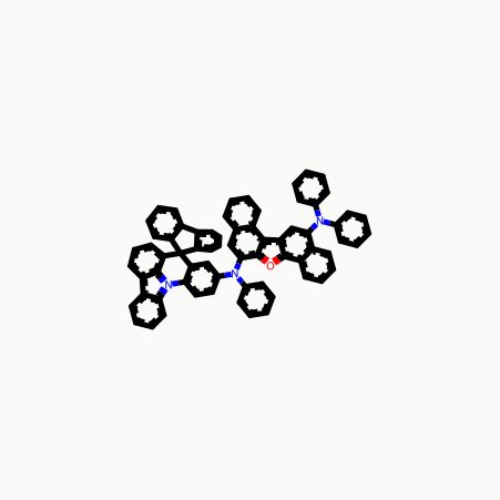 c1ccc(N(c2ccccc2)c2cc3c(oc4c(N(c5ccccc5)c5ccc6c(c5)C5(c7ccccc7-c7ccccc75)c5cccc7c8ccccc8n-6c57)cc5ccccc5c43)c3ccccc23)cc1